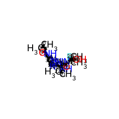 CC(C)CC(=O)NCc1cnc2c(cnn2-c2cc(NC(C)C)c(C(=O)NCC(F)C(C)(C)O)cn2)c1